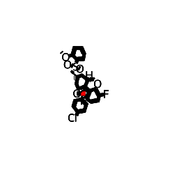 COc1ccccc1S(=O)(=O)C[C@@H]1CC[C@@]2(S(=O)(=O)c3ccc(Cl)cc3)c3c(F)ccc(F)c3OC[C@H]2C1